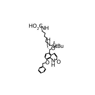 CC(C)(C)[Si](C)(C)O[C@@H](CNCCCCCNC(=O)O)c1ccc(OCc2ccccc2)c2[nH]c(=O)ccc12